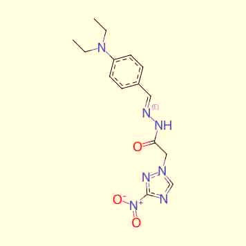 CCN(CC)c1ccc(/C=N/NC(=O)Cn2cnc([N+](=O)[O-])n2)cc1